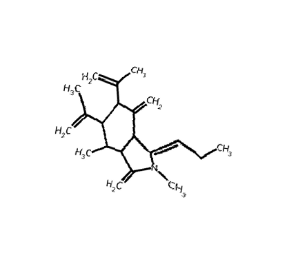 C=C(C)C1C(=C)C2/C(=C/CC)N(C)C(=C)C2C(C)C1C(=C)C